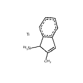 CC1=Cc2ccccc2C1[SiH3].[Ti]